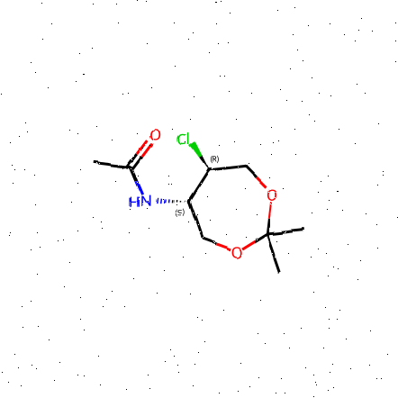 CC(=O)N[C@H]1COC(C)(C)OC[C@@H]1Cl